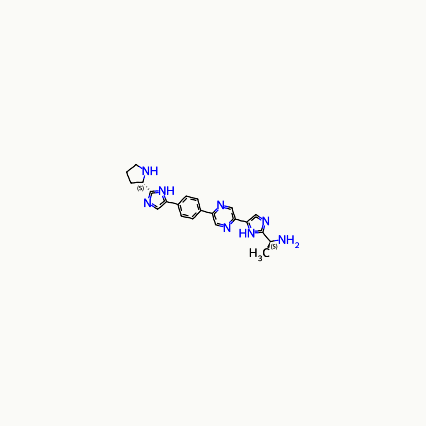 C[C@H](N)c1ncc(-c2cnc(-c3ccc(-c4cnc([C@@H]5CCCN5)[nH]4)cc3)cn2)[nH]1